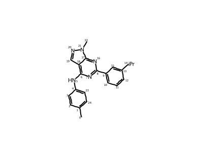 Cc1ccc(Nc2nc(-c3cccc(C(C)C)c3)nc3c2cnn3C)cc1